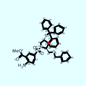 COC(=O)c1cc(S(=O)(=O)N2C[C@H](SC(c3ccccc3)(c3ccccc3)c3ccccc3)C[C@H]2COCc2ccccc2)ccc1N